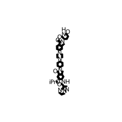 CC(C)OC1=CC2=C(CC1NC(=O)c1cnn3cccnc13)CN([C@H]1CC[C@@H](N3CCN(c4ccc5c(c4)CN(C4CCC(=O)NC4=O)C5=O)CC3)CC1)C2=O